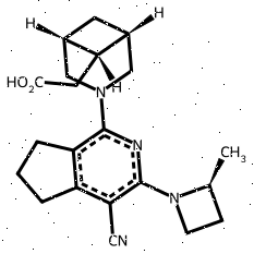 C[C@H]1CCN1c1nc(N2C[C@H]3C[C@@H](C2)[C@H]3CC(=O)O)c2c(c1C#N)CCC2